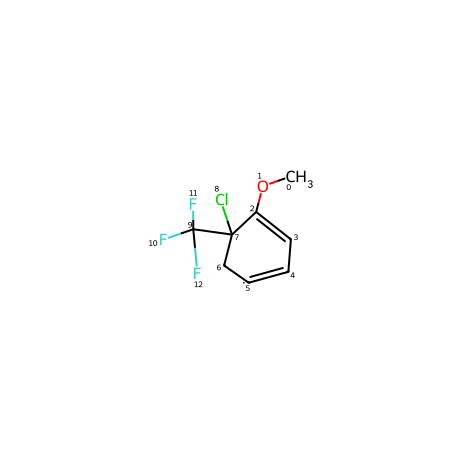 COC1=CC=[C]CC1(Cl)C(F)(F)F